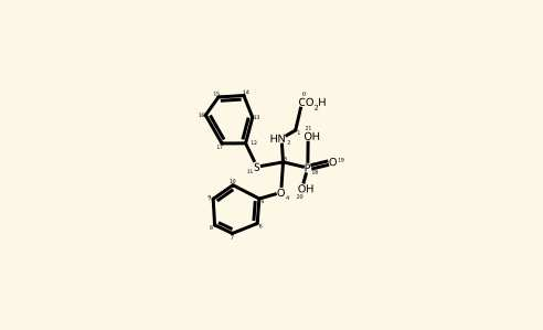 O=C(O)CNC(Oc1ccccc1)(Sc1ccccc1)P(=O)(O)O